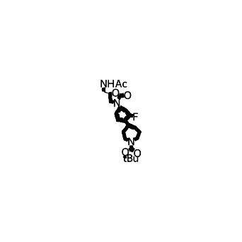 CC(=O)NC[C@H]1CN(c2ccc(C3=CCCN(C(=O)OC(C)(C)C)CC3)c(F)c2)C(=O)O1